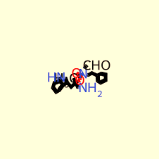 CC(CN)(Cc1c[nH]c2ccccc12)OC(=O)N(CC=O)CCc1ccccc1